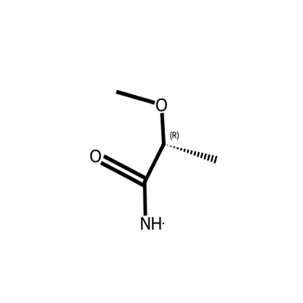 CO[C@H](C)C([NH])=O